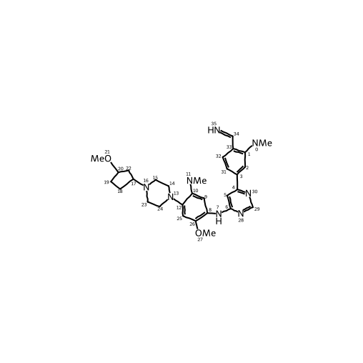 CNc1cc(-c2cc(Nc3cc(NC)c(N4CCN(C5CCC(OC)C5)CC4)cc3OC)ncn2)ccc1C=N